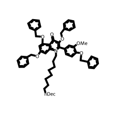 CCCCCCCCCCCCCCCCCCn1c(-c2ccc(OCc3ccccc3)c(OC)c2)c(OCc2ccccc2)c(=O)c2c(OCc3ccccc3)cc(OCc3ccccc3)cc21